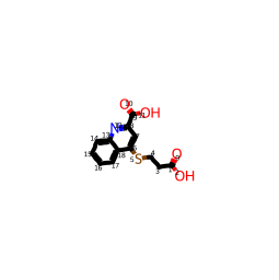 O=C(O)CCSc1cc(C(=O)O)nc2ccccc12